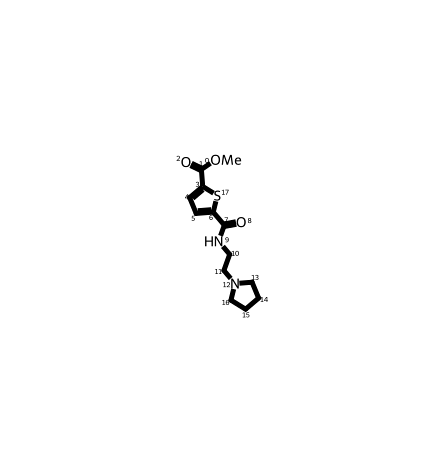 COC(=O)c1ccc(C(=O)NCCN2CCCC2)s1